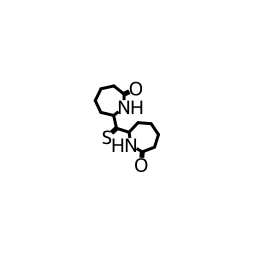 O=C1CCCCC(C(=S)C2CCCCC(=O)N2)N1